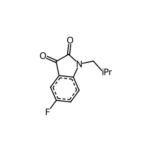 CC(C)CN1C(=O)C(=O)c2cc(F)ccc21